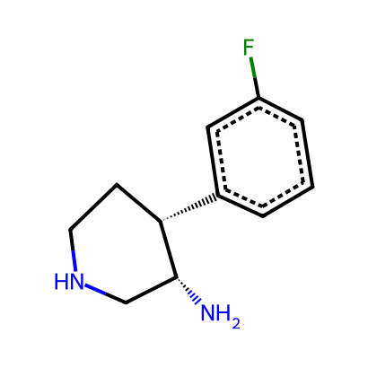 N[C@@H]1CNCC[C@@H]1c1cccc(F)c1